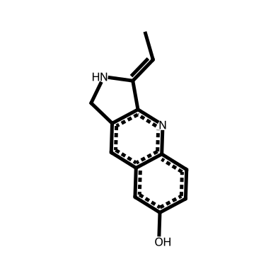 C/C=C1\NCc2cc3cc(O)ccc3nc21